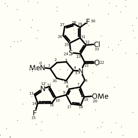 CNC1CCC(N(Cc2cc(-c3cncc(F)c3)ccc2OC)C(=O)c2sc3cccc(F)c3c2Cl)CC1